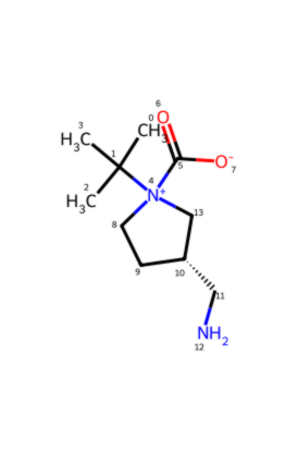 CC(C)(C)[N+]1(C(=O)[O-])CC[C@@H](CN)C1